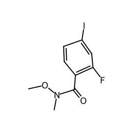 CON(C)C(=O)c1ccc(I)cc1F